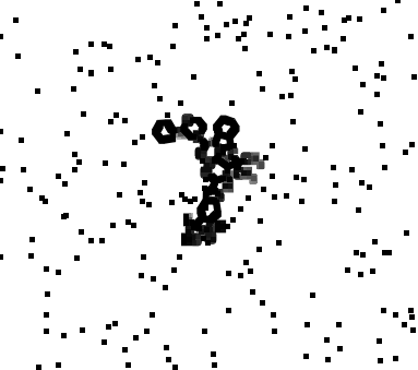 CC(C)(C)C(NC(=O)c1cc2cc(C(F)(F)P(=O)(O)O)ccc2s1)C(=O)N1Cc2ccccc2[C@H]1C(=O)N1CCO[C@H](c2ccccc2)C1